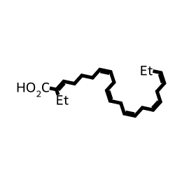 CC/C=C\C/C=C\C/C=C\C/C=C\C/C=C\CCC/C=C(\CC)C(=O)O